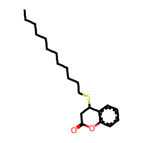 CCCCCCCCCCCCSC1CC(=O)Oc2ccccc21